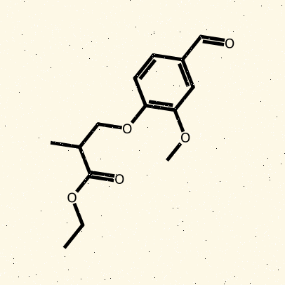 CCOC(=O)C(C)COc1ccc(C=O)cc1OC